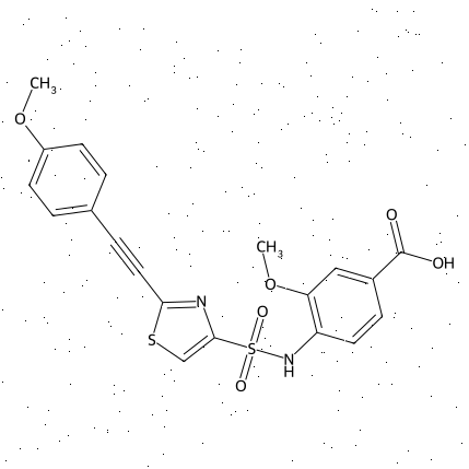 COc1ccc(C#Cc2nc(S(=O)(=O)Nc3ccc(C(=O)O)cc3OC)cs2)cc1